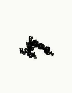 C=CC(=O)N1CCN(c2cnc3[nH]cc(C(=O)NC(C)COC)c3n2)CC1